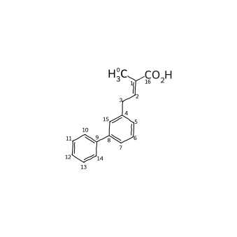 CC(=CCc1cccc(-c2ccccc2)c1)C(=O)O